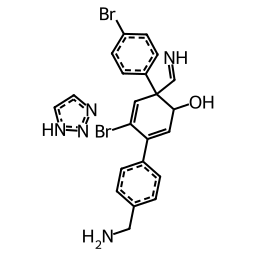 N=CC1(c2ccc(Br)cc2)C=C(Br)C(c2ccc(CN)cc2)=CC1O.c1c[nH]nn1